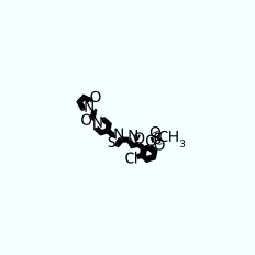 CS(=O)(=O)Oc1cccc(Cl)c1C1CC(c2csc(C3CCN(C(=O)CN4CCCC4=O)CC3)n2)=NO1